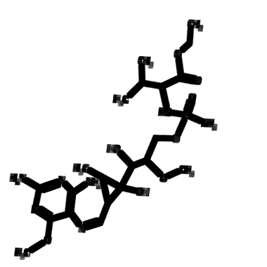 CCOC(=O)C(NP(N)(=O)OCC(OC)C(O)C1(O)C(C)C1/C=N\c1c(N)nc(N)nc1OC)C(C)C